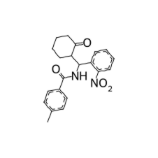 Cc1ccc(C(=O)NC(c2ccccc2[N+](=O)[O-])C2CCCCC2=O)cc1